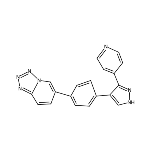 c1cc(-c2n[nH]cc2-c2ccc(-c3ccc4nnnn4c3)cc2)ccn1